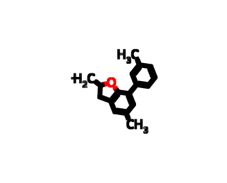 [CH2]C1Cc2cc(C)cc(-c3cccc(C)c3)c2O1